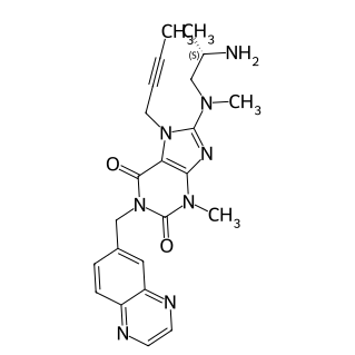 CC#CCn1c(N(C)C[C@H](C)N)nc2c1c(=O)n(Cc1ccc3nccnc3c1)c(=O)n2C